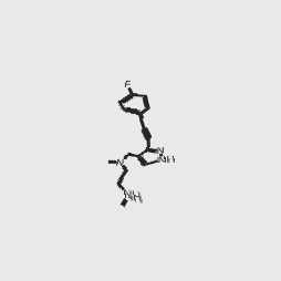 CNCCN(C)Cc1c[nH]nc1C#Cc1ccc(F)cc1